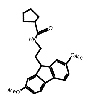 COc1ccc2c(c1)C(CCNC(=O)C1CCCC1)c1cc(OC)ccc1-2